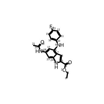 CCOC(=O)c1cc2c(Nc3ccc(F)cc3)cc(NC(C)=O)cc2[nH]1